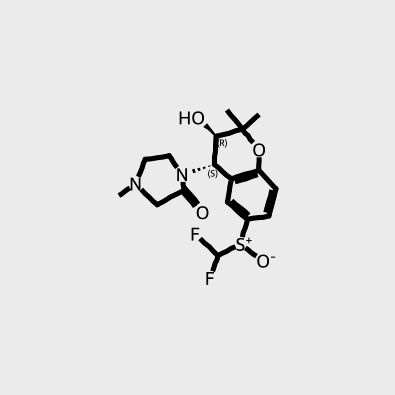 CN1CCN([C@H]2c3cc([S+]([O-])C(F)F)ccc3OC(C)(C)[C@@H]2O)C(=O)C1